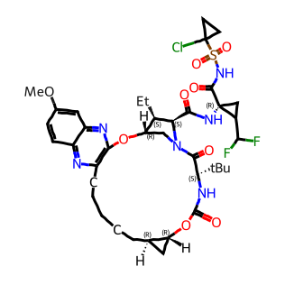 CC[C@@H]1[C@@H]2CN(C(=O)[C@H](C(C)(C)C)NC(=O)O[C@@H]3C[C@H]3CCCCCc3nc4ccc(OC)cc4nc3O2)[C@@H]1C(=O)N[C@]1(C(=O)NS(=O)(=O)C2(Cl)CC2)CC1C(F)F